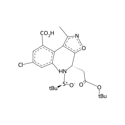 Cc1cc(Cl)cc(C(=O)O)c1-c1c(C)noc1[C@H](CC(=O)OC(C)(C)C)N[S@@+]([O-])C(C)(C)C